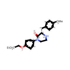 CCOC(=O)COc1ccc(N2CCN[C@@H](Cc3ccc(OC)cc3)C2=O)cc1